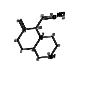 C=C1CCC2CNCCN2C1C=O.Cl